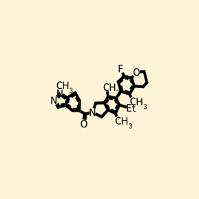 CCc1c(C)c2c(c(C)c1-c1cc(F)c3c(c1C)CCCO3)CN(C(=O)c1ccc3c(cnn3C)c1)C2